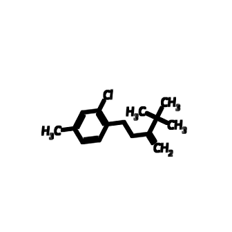 C=C(CCc1ccc(C)cc1Cl)C(C)(C)C